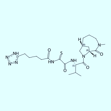 CC(C)[C@H](NC(=O)C(=S)NC(=O)CCCCc1nnn[nH]1)C(=O)N1C[C@@H]2CCCN(C)C(=O)[C@H]1C2